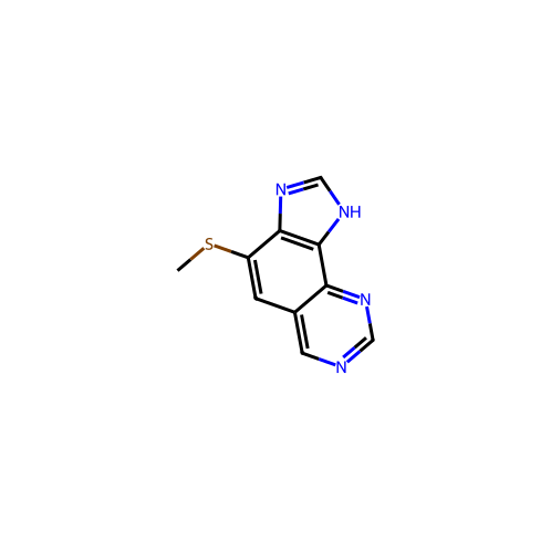 CSc1cc2cncnc2c2[nH]cnc12